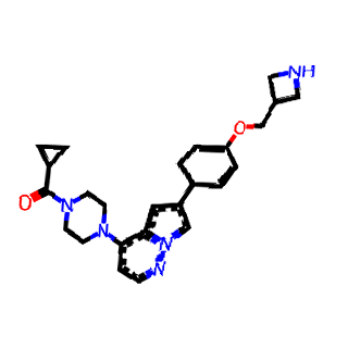 O=C(C1CC1)N1CCN(c2ccnn3cc(C4C=CC(OCC5CNC5)=CC4)cc23)CC1